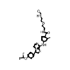 Cc1cc(Nc2nccn3c(-c4ccc(OC(F)F)cc4)cnc23)ccc1C(=O)NCCOCCNC=O